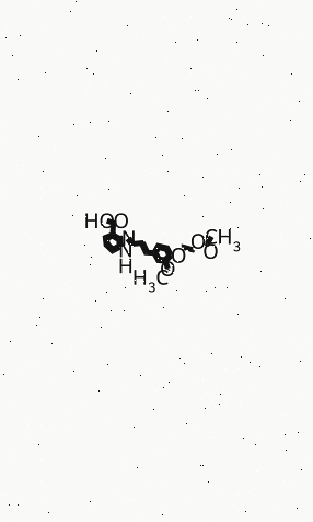 COc1cc(/C=C/c2nc3c(C(=O)O)cccc3[nH]2)ccc1OCCOC(C)=O